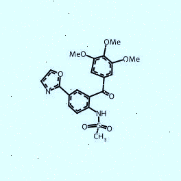 COc1cc(C(=O)c2cc(-c3ncco3)ccc2NS(C)(=O)=O)cc(OC)c1OC